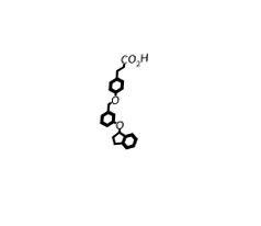 O=C(O)CCc1ccc(OCc2cccc(OC3CCc4ccccc43)c2)cc1